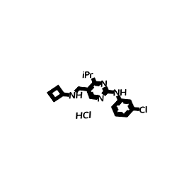 CC(C)c1nc(Nc2cccc(Cl)c2)ncc1CNC1CCC1.Cl